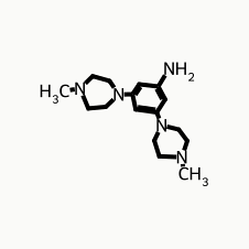 CN1CCN(c2cc(N)cc(N3CCN(C)CC3)c2)CC1